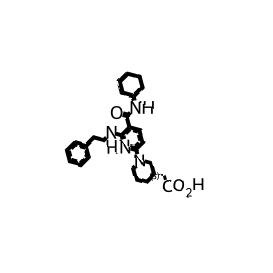 O=C(O)C[C@@H]1CCCN(c2ccc(C(=O)NC3CCCCC3)c(NCCc3ccccc3)n2)C1